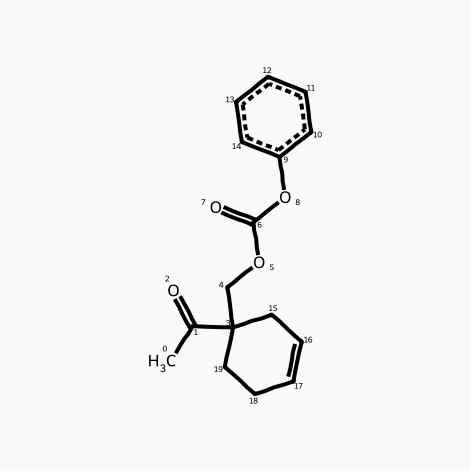 CC(=O)C1(COC(=O)Oc2ccccc2)CC=CCC1